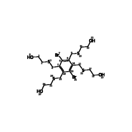 OCCSCc1c(Br)c(CSCCO)c(CSCCO)c(Br)c1CSCCO